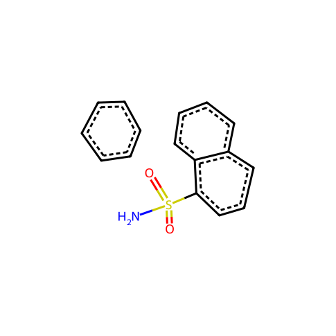 NS(=O)(=O)c1cccc2ccccc12.c1ccccc1